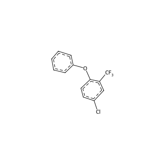 FC(F)(F)c1cc(Cl)ccc1Oc1ccccc1